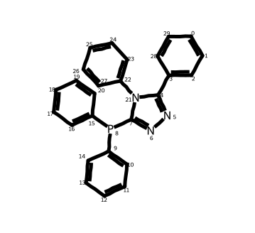 c1ccc(-c2nnc(P(c3ccccc3)c3ccccc3)n2-c2ccccc2)cc1